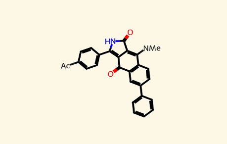 CNC1=C2C(=O)NC(c3ccc(C(C)=O)cc3)=C2C(=O)c2cc(-c3ccccc3)ccc21